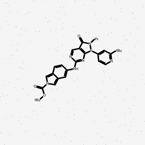 CC(C)n1c(=O)c2cnc(Nc3ccc4cn(C(=O)OC(C)(C)C)cc4c3)nc2n1-c1ccnc(C(C)(C)C)c1